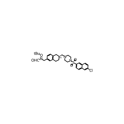 CC(C)(C)ON(C=O)Cc1ccc2c(c1)CC[C@H](CN1CCN(S(=O)(=O)c3ccc4cc(Cl)ccc4c3)CC1)C2